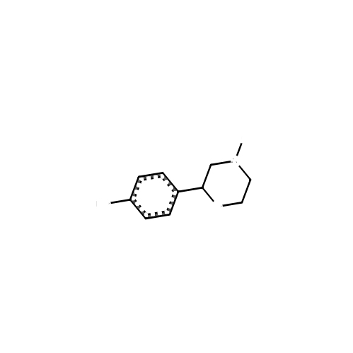 CN1CCOC(c2ccc(O)cc2)C1